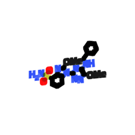 COc1nnc(-n2c(OC)nc3c(S(N)(=O)=O)cccc32)nc1NCc1ccccc1